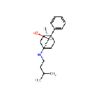 CC(C)CCNC12CCC(c3ccccc3)(CC1)[C@H](O)C2